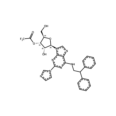 O=C(O[C@H]1[C@@H](O)[C@H](n2cnc3c(NCC(c4ccccc4)c4ccccc4)nc(-n4ccnc4)nc32)O[C@@H]1CO)C(F)(F)F